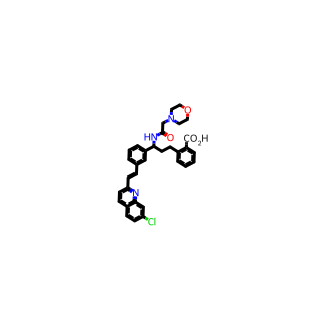 O=C(CN1CCOCC1)NC(CCc1ccccc1C(=O)O)c1cccc(C=Cc2ccc3ccc(Cl)cc3n2)c1